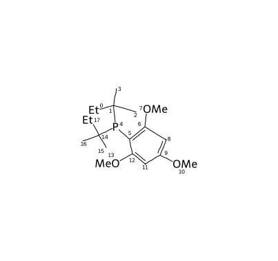 CCC(C)(C)P(c1c(OC)cc(OC)cc1OC)C(C)(C)CC